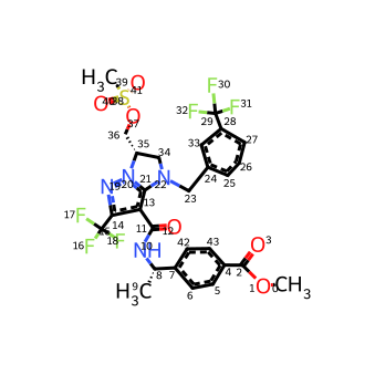 COC(=O)c1ccc([C@H](C)NC(=O)c2c(C(F)(F)F)nn3c2N(Cc2cccc(C(F)(F)F)c2)C[C@H]3COS(C)(=O)=O)cc1